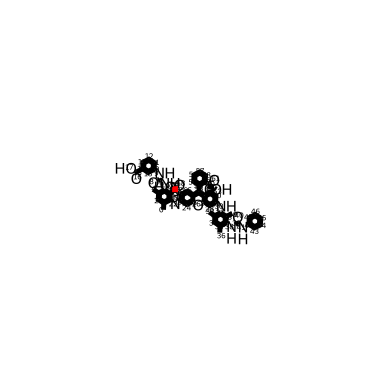 Cc1cc(C)c(NC(=O)Nc2cccc(C(=O)O)c2)c(C)c1/N=c1/cc2oc3cc(Nc4c(C)cc(C)c(NC(=O)Nc5ccccc5)c4C)ccc3c(-c3ccccc3S(=O)(=O)O)c-2cc1S(=O)(=O)O